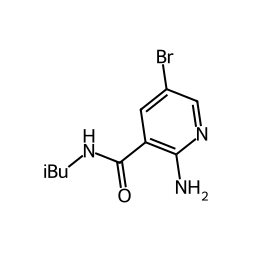 CCC(C)NC(=O)c1cc(Br)cnc1N